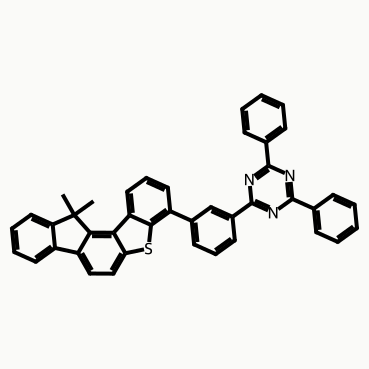 CC1(C)c2ccccc2-c2ccc3sc4c(-c5cccc(-c6nc(-c7ccccc7)nc(-c7ccccc7)n6)c5)cccc4c3c21